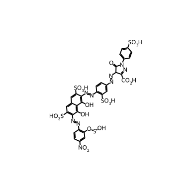 O=C(O)C1=NN(c2ccc(S(=O)(=O)O)cc2)C(=O)C1/N=N/c1ccc(/N=N/c2c(S(=O)(=O)O)cc3cc(S(=O)(=O)O)c(/N=N/c4ccc([N+](=O)[O-])cc4OSO)c(O)c3c2O)c(S(=O)(=O)O)c1